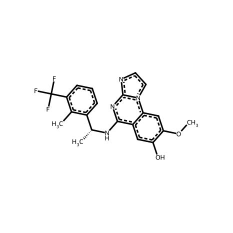 COc1cc2c(cc1O)c(N[C@H](C)c1cccc(C(F)(F)F)c1C)nc1nccn12